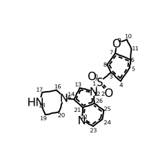 O=S(=O)(c1ccc2c(c1)OCC2)n1cc(N2CCNCC2)c2ncccc21